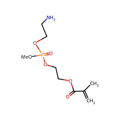 C=C(C)C(=O)OCCOP(=O)(OC)OCCN